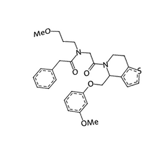 COCCCN(CC(=O)N1CCc2sccc2C1COc1cccc(OC)c1)C(=O)Cc1ccccc1